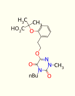 CCCCn1c(=O)c(OCCc2ccccc2OC(C)(C)C(=O)O)nn(C)c1=O